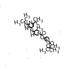 CC(C)c1cc(NC2CCN(C(=O)O[C@H]3CCN(C(=O)OC(C)(C)C)C3)CC2)c2ncn(C(C)C)c2n1